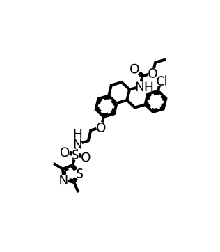 CCOC(=O)NC1CCc2ccc(OCCNS(=O)(=O)c3sc(C)nc3C)cc2C1Cc1cccc(Cl)c1